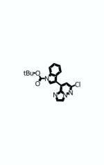 CC(C)(C)OC(=O)n1cc(-c2cc(Cl)nn3ccnc23)c2ccccc21